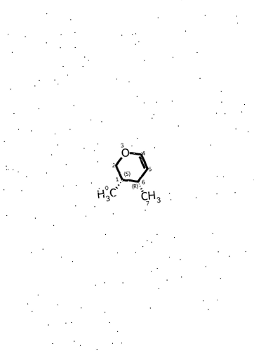 C[C@@H]1COC=C[C@@H]1C